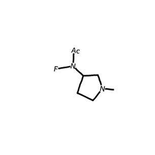 CC(=O)N(F)C1CCN(C)C1